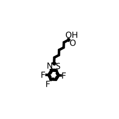 O=C(O)CCCCCc1nc2c(F)c(F)cc(F)c2s1